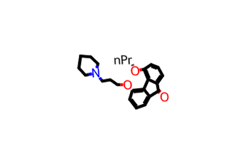 CCCOc1cccc2c1-c1c(OCCCN3CCCCC3)cccc1C2=O